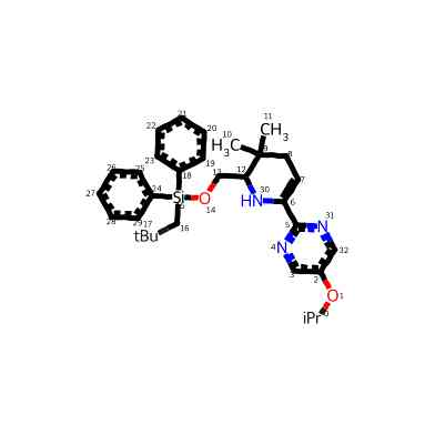 CC(C)Oc1cnc(C2=CCC(C)(C)C(CO[Si](CC(C)(C)C)(c3ccccc3)c3ccccc3)N2)nc1